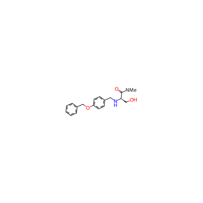 CNC(=O)[C@@H](CO)NCc1ccc(OCc2ccccc2)cc1